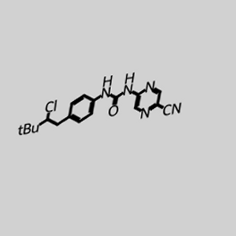 CC(C)(C)C(Cl)Cc1ccc(NC(=O)Nc2cnc(C#N)cn2)cc1